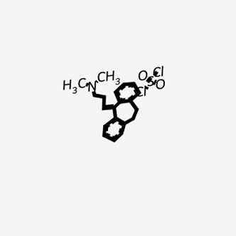 CN(C)CCC=C1c2ccccc2CCc2ccccc21.O=S(=O)(Cl)Cl